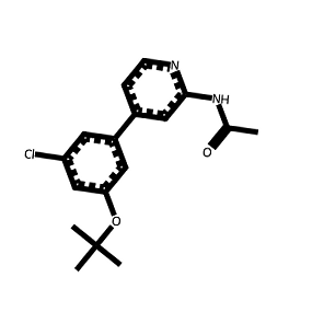 CC(=O)Nc1cc(-c2cc(Cl)cc(OC(C)(C)C)c2)ccn1